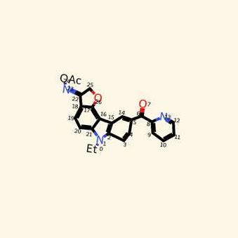 CCn1c2ccc(C(=O)c3ccccn3)cc2c2c3c(ccc21)/C(=N/OC(C)=O)CO3